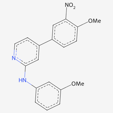 COc1cccc(Nc2cc(-c3ccc(OC)c([N+](=O)[O-])c3)ccn2)c1